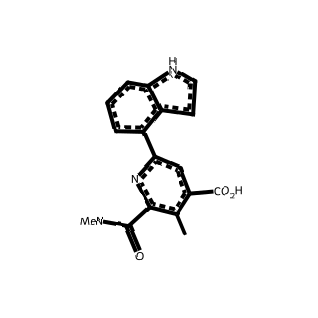 CNC(=O)c1nc(-c2cccc3[nH]ccc23)cc(C(=O)O)c1C